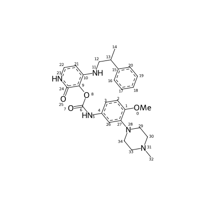 COc1ccc(NC(=O)Oc2c(NCC(C)c3ccccc3)cc[nH]c2=O)cc1N1CCN(C)CC1